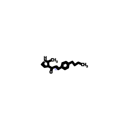 CCCCc1ccc(/C=C/C(=O)C2C=CNC2C)cc1